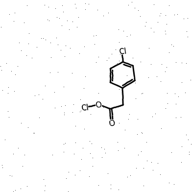 O=C(Cc1ccc(Cl)cc1)OCl